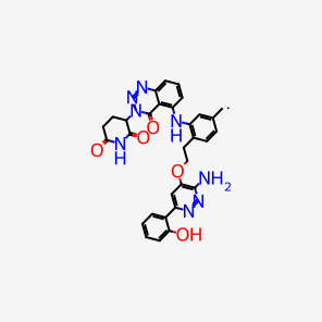 [CH2]c1ccc(CCOc2cc(-c3ccccc3O)nnc2N)c(Nc2cccc3nnn(C4CCC(=O)NC4=O)c(=O)c23)c1